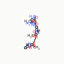 COc1cc2c(cc1OCCCCCOc1cc3c(cc1OC)C(=O)N1Cc4cc(NC(=O)[C@H](CCCNC(N)=O)NC(=O)[C@@H](N)C(C)C)ccc4C[C@H]1C=N3)N=C[C@@H]1Cc3ccccc3CN1C2=O